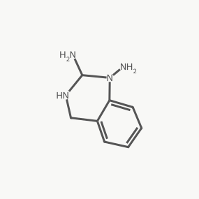 NC1NCc2ccccc2N1N